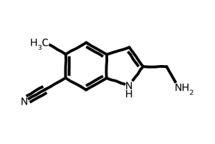 Cc1cc2cc(CN)[nH]c2cc1C#N